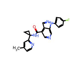 Cc1ccnc(C2(NC(=O)c3cncc4c3cnn4-c3ccc(F)cc3)CC2)c1